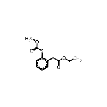 CCOC(=O)Cc1ccccc1SC(=O)OC